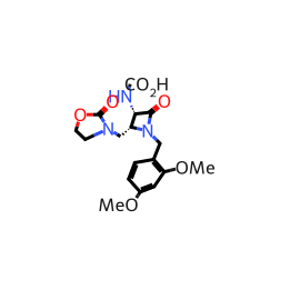 COc1ccc(CN2C(=O)[C@@H](NC(=O)O)[C@H]2CN2CCOC2=O)c(OC)c1